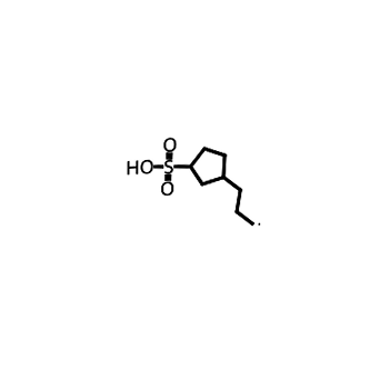 [CH2]CCC1CCC(S(=O)(=O)O)C1